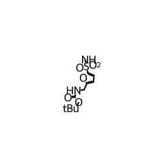 CC(C)(C)OC(=O)NCc1ccc(S(N)(=O)=O)o1